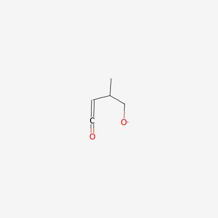 CC(C=C=O)C[O]